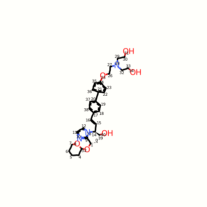 C[C@H](OC1CCCCO1)c1nccn1[C@@H](/C=C/c1ccc(-c2ccc(OCCN(CCO)CCO)cc2)cc1)CO